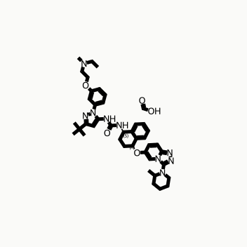 CCN(C)CCOc1cccc(-n2nc(C(C)(C)C)cc2NC(=O)N[C@H]2CC[C@@H](Oc3ccc4nnc(N5CCCCC5C)n4c3)c3ccccc32)c1.O=CO